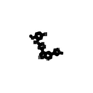 COc1ccc(Cl)cc1Nc1nnc(-c2c[nH]c3ncc(-c4cnn(C)c4)cc23)o1